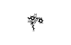 C=Cc1ccc(NC(=O)Nc2ccccc2)cc1NC(=O)OCCCC